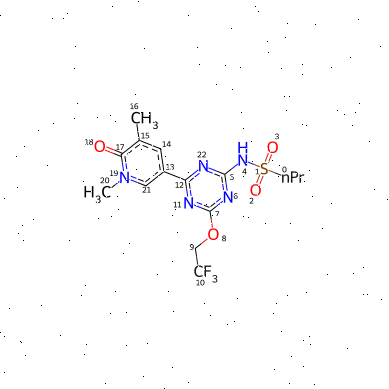 CCCS(=O)(=O)Nc1nc(OCC(F)(F)F)nc(-c2cc(C)c(=O)n(C)c2)n1